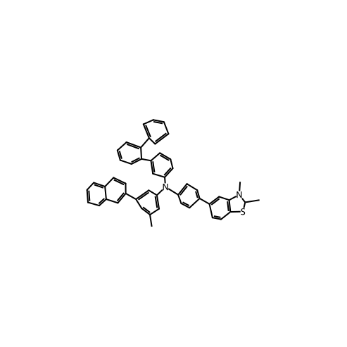 Cc1cc(-c2ccc3ccccc3c2)cc(N(c2ccc(-c3ccc4c(c3)N(C)C(C)S4)cc2)c2cccc(-c3ccccc3-c3ccccc3)c2)c1